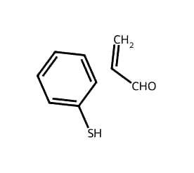 C=CC=O.Sc1ccccc1